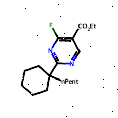 CCCCCC1(c2ncc(C(=O)OCC)c(F)n2)CCCCC1